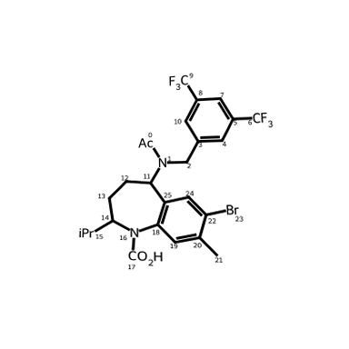 CC(=O)N(Cc1cc(C(F)(F)F)cc(C(F)(F)F)c1)C1CCC(C(C)C)N(C(=O)O)c2cc(C)c(Br)cc21